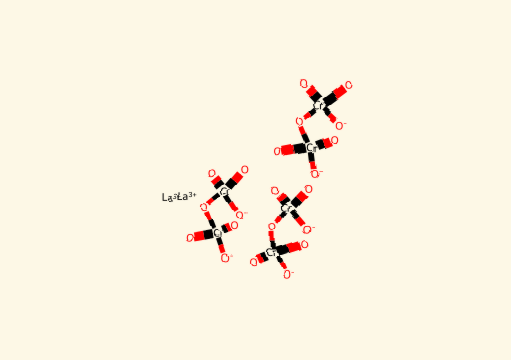 [La+3].[La+3].[O]=[Cr](=[O])([O-])[O][Cr](=[O])(=[O])[O-].[O]=[Cr](=[O])([O-])[O][Cr](=[O])(=[O])[O-].[O]=[Cr](=[O])([O-])[O][Cr](=[O])(=[O])[O-]